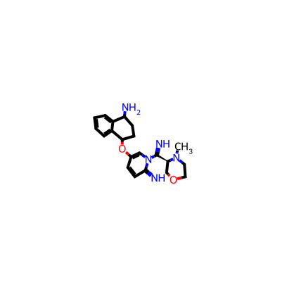 CN1CCOC[C@H]1C(=N)n1cc(OC2CCC(N)c3ccccc32)ccc1=N